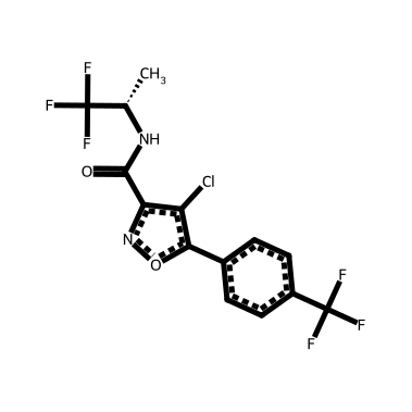 C[C@H](NC(=O)c1noc(-c2ccc(C(F)(F)F)cc2)c1Cl)C(F)(F)F